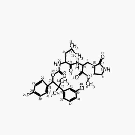 COC(=O)C(C[C@@H]1CCNC1=O)NC(=O)C(CC(C)C)NC(=O)OC(c1ccc(F)cc1)C(C)(C)c1cccc(Cl)c1